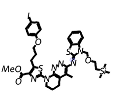 COC(=O)c1nc(N2CCCc3c2nnc(/N=c2\sc4ccccc4n2COCC[Si](C)(C)C)c3C)sc1CCCOc1ccc(I)cc1